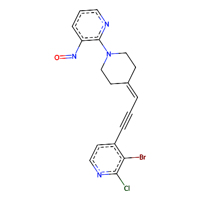 O=Nc1cccnc1N1CCC(=CC#Cc2ccnc(Cl)c2Br)CC1